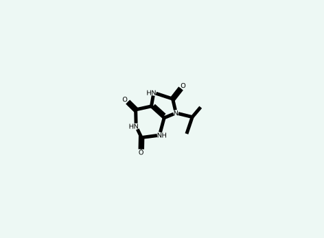 CC(C)n1c(=O)[nH]c2c(=O)[nH]c(=O)[nH]c21